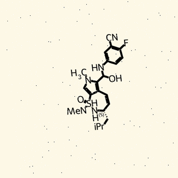 CN[SH]1(=O)N[C@@H](CC(C)C)C=Cc2c1cn(C)c2C(O)Nc1ccc(F)c(C#N)c1